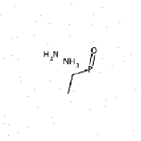 CCP=O.N.N